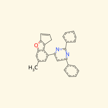 Cc1cc(-c2cc(-c3ccccc3)nc(-c3ccccc3)n2)c2c3c(oc2c1)C=CC3